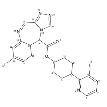 O=C(OC1CCC(c2ncccc2F)CC1)C1C2CC=C(F)C=C2N=Cc2nncn21